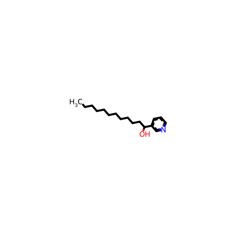 CCCCCCCCCCCC(O)c1cccnc1